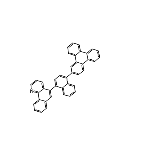 c1ccc2c(c1)cc(-c1ccc(-c3ccc4c5ccccc5c5ccccc5c4c3)c3ccccc13)c1cccnc12